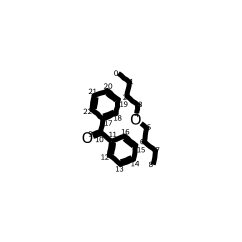 CCCCOCCCC.O=C(c1ccccc1)c1ccccc1